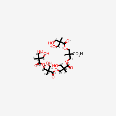 CC(COC(=O)C(C)(CO)CO)(COC(=O)C(C)(CO)COC(=O)C(C)(CO)COC(=O)C(C)(CO)CO)C(=O)O